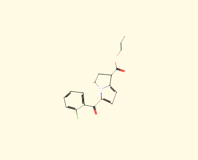 CCCCCCCCCCCCOC(=O)C1CCn2c(C(=O)c3ccccc3Cl)ccc21